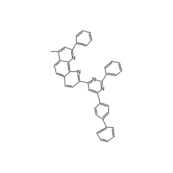 Cc1cc(-c2ccccc2)nc2c1ccc1ccc(-c3cc(-c4ccc(-c5ccccc5)cc4)nc(-c4ccccc4)n3)nc12